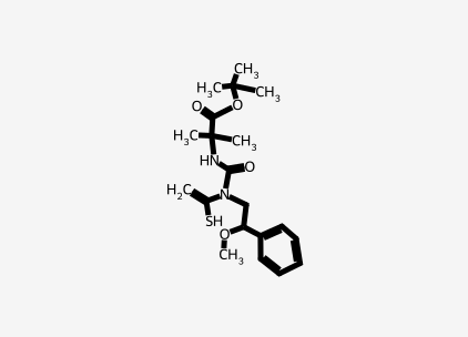 C=C(S)N(CC(OC)c1ccccc1)C(=O)NC(C)(C)C(=O)OC(C)(C)C